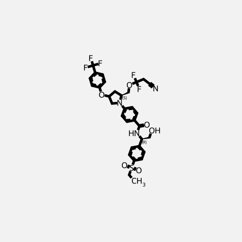 CCS(=O)(=O)c1ccc([C@H](CO)NC(=O)c2ccc(N3CC(Oc4ccc(C(F)(F)F)cc4)C[C@H]3COC(F)(F)CC#N)cc2)cc1